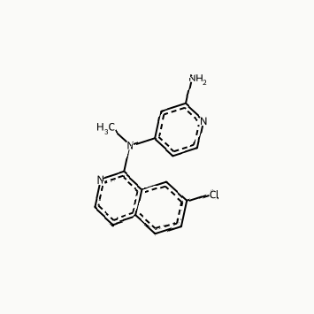 CN(c1ccnc(N)c1)c1nccc2ccc(Cl)cc12